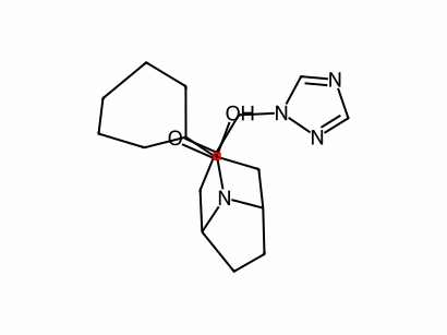 O=C(O)N1C2CCC1CC(Cn1cncn1)(C1CCCCC1)C2